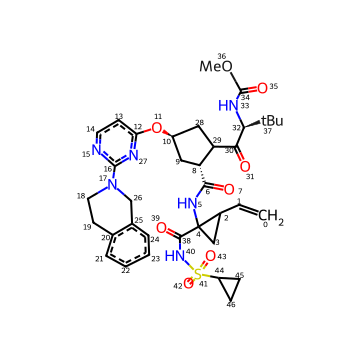 C=CC1CC1(NC(=O)[C@@H]1C[C@@H](Oc2ccnc(N3CCc4ccccc4C3)n2)CC1C(=O)[C@@H](NC(=O)OC)C(C)(C)C)C(=O)NS(=O)(=O)C1CC1